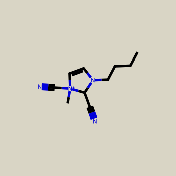 CCCCN1C=C[N+](C)(C#N)C1C#N